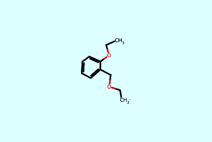 [CH2]COCc1ccccc1OCC